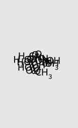 COc1cccc2c1C(=O)c1c(O)c3c(c(O)c1C2=O)CC(O)(C(C)=O)CC3OC1CC2C(OCOCN2C(=O)OCc2ncc(N(O)O)n2C)C(C)O1